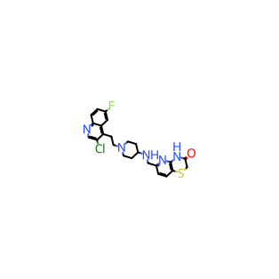 O=C1CSc2ccc(CNC3CCN(CCc4c(Cl)cnc5ccc(F)cc45)CC3)nc2N1